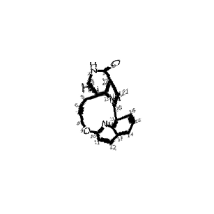 O=C1NC[C@@H]2C/C=C\COc3ccc4cccc(c4n3)-c3cc1c2[nH]3